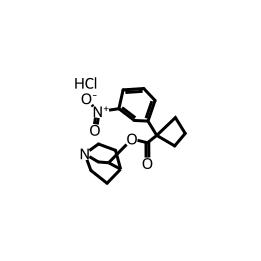 Cl.O=C(OC1CN2CCC1CC2)C1(c2cccc([N+](=O)[O-])c2)CCC1